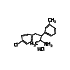 Cc1cccc(C(Cc2ccc(Cl)cc2)C(C)N)c1.Cl